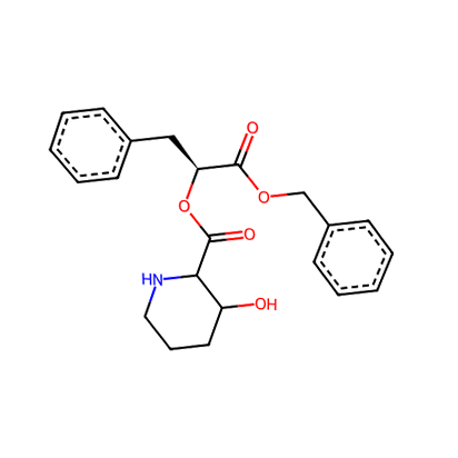 O=C(O[C@@H](Cc1ccccc1)C(=O)OCc1ccccc1)C1NCCCC1O